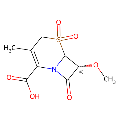 CO[C@@H]1C(=O)N2C(C(=O)O)=C(C)CS(=O)(=O)C12